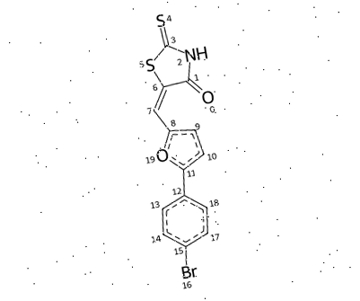 O=C1NC(=S)SC1=Cc1ccc(-c2ccc(Br)cc2)o1